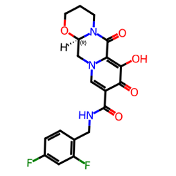 O=C(NCc1ccc(F)cc1F)c1cn2c(c(O)c1=O)C(=O)N1CCCO[C@@H]1C2